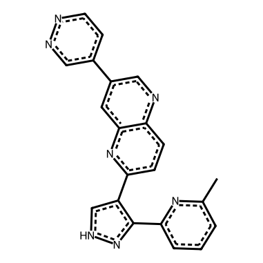 Cc1cccc(-c2n[nH]cc2-c2ccc3ncc(-c4ccnnc4)cc3n2)n1